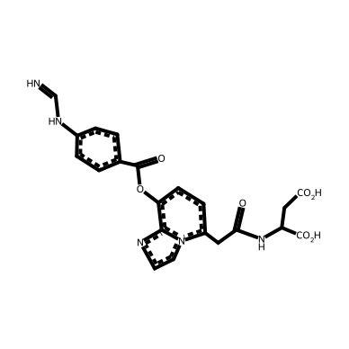 N=CNc1ccc(C(=O)Oc2ccc(CC(=O)NC(CC(=O)O)C(=O)O)n3ccnc23)cc1